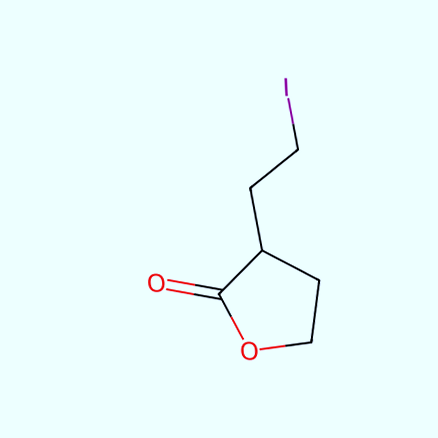 O=C1OCCC1CCI